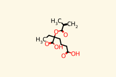 C=C(C)C(=O)OC(CC)(CCCC(=O)O)C(=O)O